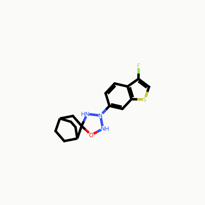 Fc1csc2cc(N3NOC4(CC5CCC4CC5)N3)ccc12